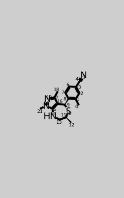 Cc1cc(C#N)ccc1[C@H]1S[C@@H](C)CNc2c1c(C)nn2C